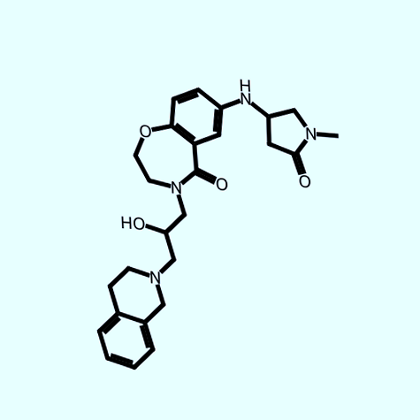 CN1CC(Nc2ccc3c(c2)C(=O)N(CC(O)CN2CCc4ccccc4C2)CCO3)CC1=O